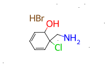 Br.NCC1(Cl)C=CC=CC1O